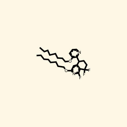 CCCCCCCCOc1cc2c(c(F)n1)C(F)(F)CCC2c1ncccc1OCCCCCCCC